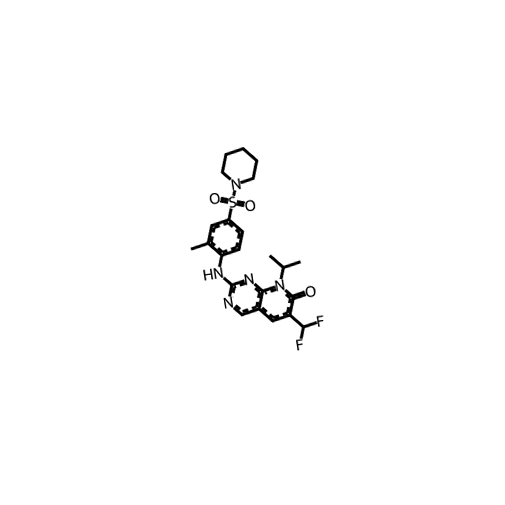 Cc1cc(S(=O)(=O)N2CCCCC2)ccc1Nc1ncc2cc(C(F)F)c(=O)n(C(C)C)c2n1